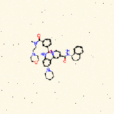 CN(CCN1CCOCC1)C(=O)c1cccc(C(=O)Nc2ccc(N3CCCCC3)cc2-c2cc(C(=O)N[C@H]3CCCc4ccccc43)ccn2)c1